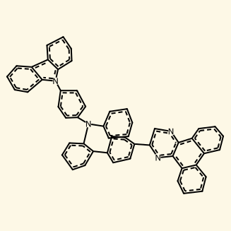 c1ccc(N(c2ccc(-n3c4ccccc4c4ccccc43)cc2)c2ccccc2-c2ccc(-c3cnc4c5ccccc5c5ccccc5c4n3)cc2)cc1